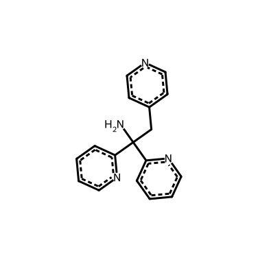 NC(Cc1ccncc1)(c1ccccn1)c1ccccn1